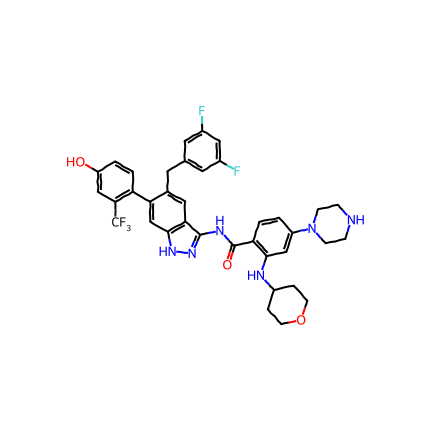 O=C(Nc1n[nH]c2cc(-c3ccc(O)cc3C(F)(F)F)c(Cc3cc(F)cc(F)c3)cc12)c1ccc(N2CCNCC2)cc1NC1CCOCC1